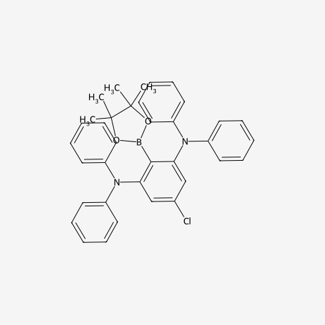 CC1(C)OB(c2c(N(c3ccccc3)c3ccccc3)cc(Cl)cc2N(c2ccccc2)c2ccccc2)OC1(C)C